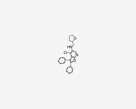 Clc1c(NCC2CCCO2)cnc2oc(-c3ccccc3)c(-c3ccccc3)c12